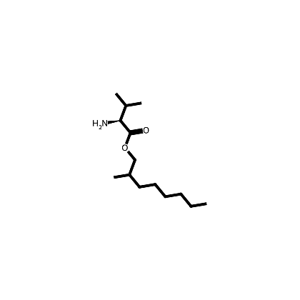 CCCCCCC(C)COC(=O)[C@@H](N)C(C)C